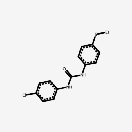 CCSc1ccc(NC(=O)Nc2ccc(Cl)cc2)cc1